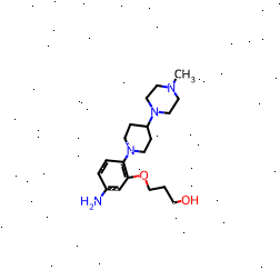 CN1CCN(C2CCN(c3ccc(N)cc3OCCCO)CC2)CC1